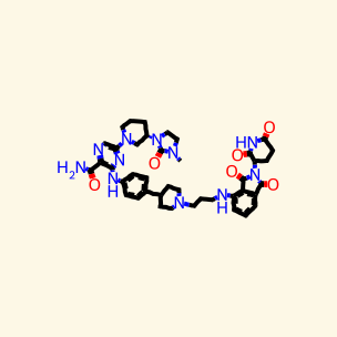 CN1CCN([C@@H]2CCCN(c3cnc(C(N)=O)c(Nc4ccc(C5CCN(CCCNc6cccc7c6C(=O)N(C6CCC(=O)NC6=O)C7=O)CC5)cc4)n3)C2)C1=O